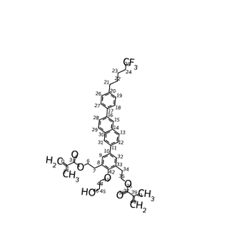 C=C(C)C(=O)OCCc1cc(-c2ccc3cc(-c4ccc(CCCCC(F)(F)F)cc4)ccc3c2)cc(CCOC(=O)C(=C)C)c1OCCO